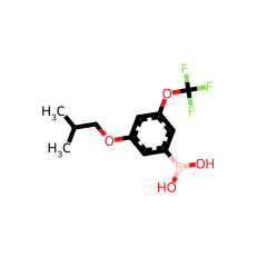 CC(C)COc1cc(OC(F)(F)F)cc(B(O)O)c1